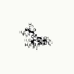 CO[C@H](C)[C@H](N)C(=O)OC[C@H](CN(C(C)(C)C)S(C)(=O)=O)O[C@@H](C)C(C)(C)C